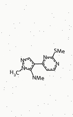 CNc1c(-c2ccnc(SC)n2)cnn1C